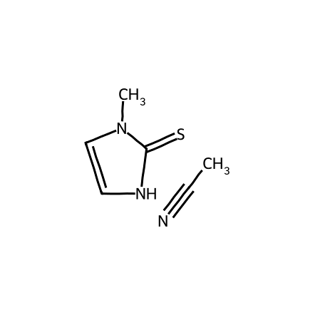 CC#N.Cn1cc[nH]c1=S